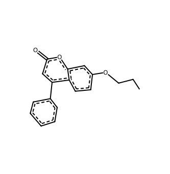 CCCOc1ccc2c(-c3ccccc3)cc(=O)oc2c1